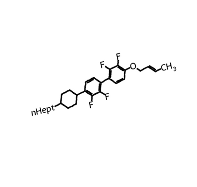 C/C=C/COc1ccc(-c2ccc(C3CCC(CCCCCCC)CC3)c(F)c2F)c(F)c1F